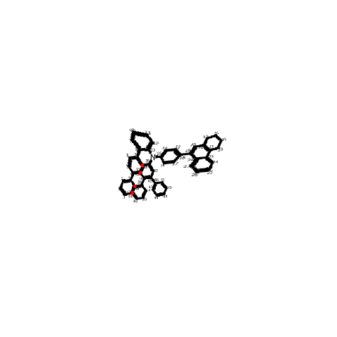 c1ccc(-c2ccc(-c3ccccc3N(c3ccc(-c4cc5c(c6ccccc46)CCCC5)cc3)c3ccc(-c4ccccc4)c(-c4ccccc4)c3)cc2)cc1